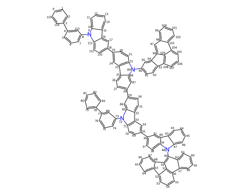 c1ccc(-c2cccc(-n3c4ccccc4c4cc(-c5ccc6c(c5)c5ccc(-c7ccc8c9cc(-c%10ccc%11c(c%10)c%10ccccc%10n%11-c%10c%11c%12c(cccc%12c%12ccccc%10%12)-c%10ccccc%10-%11)ccc9n(-c9cccc(-c%10ccccc%10)c9)c8c7)cc5n6-c5ccc6c(c5)-c5cc7ccccc7c7cccc-6c57)ccc43)c2)cc1